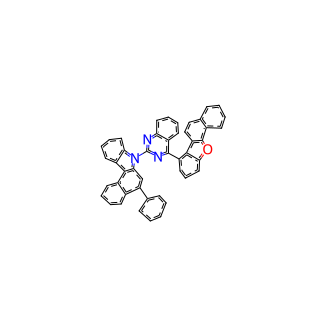 c1ccc(-c2cc3c(c4ccccc24)c2ccccc2n3-c2nc(-c3cccc4oc5c6ccccc6ccc5c34)c3ccccc3n2)cc1